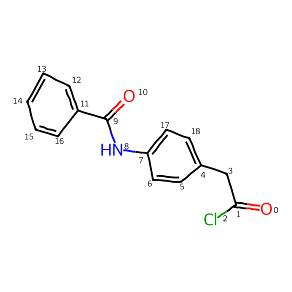 O=C(Cl)Cc1ccc(NC(=O)c2ccccc2)cc1